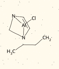 [CH2]CCC.[Cl][Al]1[N]2C=C[N]1C2